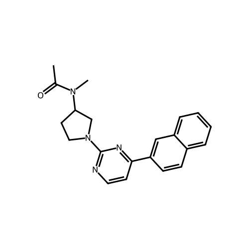 CC(=O)N(C)C1CCN(c2nccc(-c3ccc4ccccc4c3)n2)C1